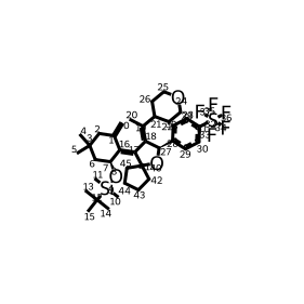 C=C1CC(C)(C)C[C@H](O[Si](C)(C)C(C)(C)C)/C1=C1/C(=C(\C)C2CCOCC2)[C@@H](c2ccc(S(F)(F)(F)(F)F)cc2)OC12CCCC2